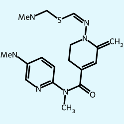 C=C1C=C(C(=O)N(C)c2ccc(NC)cn2)CCN1/N=C\SCNC